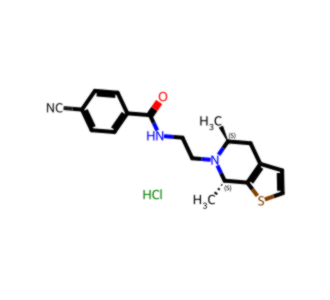 C[C@H]1Cc2ccsc2[C@H](C)N1CCNC(=O)c1ccc(C#N)cc1.Cl